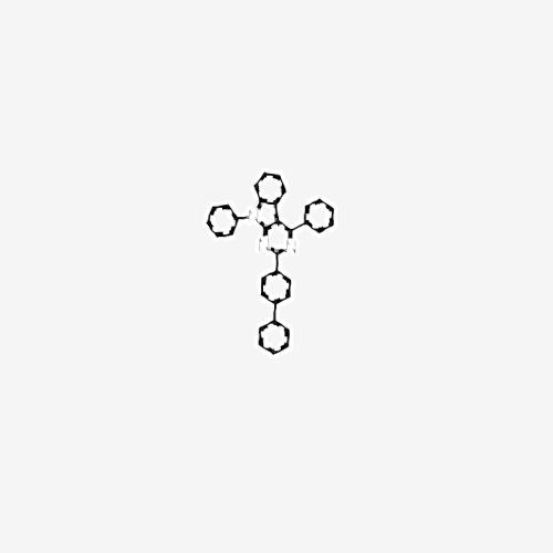 c1ccc(-c2ccc(-c3nc(-c4ccccc4)c4c5ccccc5n(-c5ccccc5)c4n3)cc2)cc1